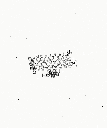 CCCCCCCCCCCCCCCCCC(=O)[O-].CCCCCCCCCCCCCCCCCC(=O)[O-].CCCCCCCCCCCCCCCCCC(=O)[O-].O=[Si](O)O[Si](=O)O.[Al+3]